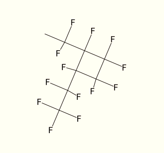 CC(F)(F)C1(F)C(F)(F)C(F)(F)C1(F)C(F)(F)C(F)(F)F